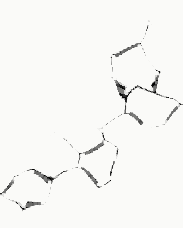 Cc1c(Nc2nccc3cc(Br)cnc23)cccc1-c1ccccc1